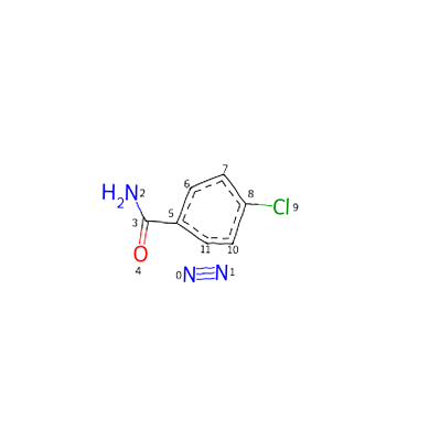 N#N.NC(=O)c1ccc(Cl)cc1